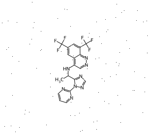 CC(Nc1cnnc2c(C(F)(F)F)cc(C(F)(F)F)cc12)c1ncnn1-c1ncccn1